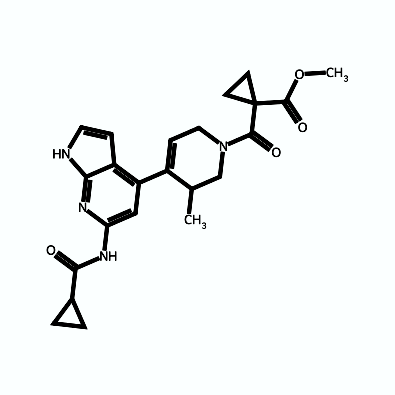 COC(=O)C1(C(=O)N2CC=C(c3cc(NC(=O)C4CC4)nc4[nH]ccc34)C(C)C2)CC1